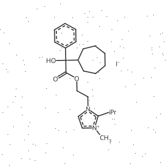 CC(C)c1n(CCOC(=O)C(O)(c2ccccc2)C2CCCCCC2)cc[n+]1C.[I-]